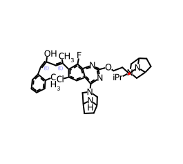 C/C(=C\C(O)=C/c1ccccc1C)c1c(Cl)cc2c(N3CC4CCC(C3)N4)nc(OCCCN3C4CCC3CN(C(C)C)C4)nc2c1F